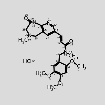 COc1cc(OC)c(OC)cc1CN(C)C(=O)C=Cc1cnc2c(c1)CN(C)CC(=O)N2.Cl